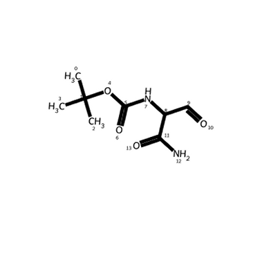 CC(C)(C)OC(=O)NC([C]=O)C(N)=O